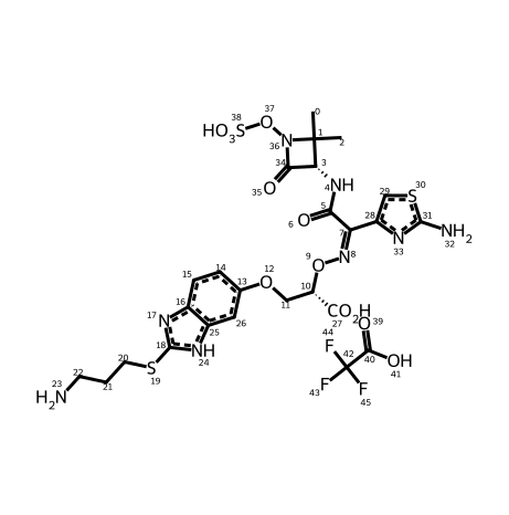 CC1(C)[C@H](NC(=O)/C(=N\O[C@@H](COc2ccc3nc(SCCCN)[nH]c3c2)C(=O)O)c2csc(N)n2)C(=O)N1OS(=O)(=O)O.O=C(O)C(F)(F)F